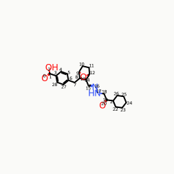 O=C(O)c1ccc(CC2C3CCC(O3)C2/C=N/NCC(=O)C2CCCCC2)cc1